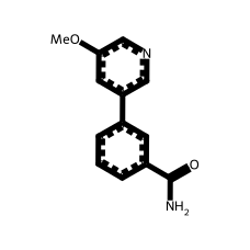 COc1cncc(-c2cccc(C(N)=O)c2)c1